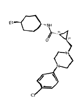 CC[C@H]1CC[C@H](NC(=O)[C@@H]2C[C@H]2CN2CCN(c3ccc(Cl)cc3)CC2)CC1